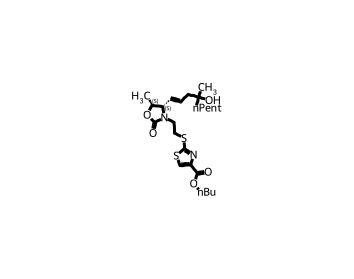 CCCCCC(C)(O)CC=C[C@H]1[C@H](C)OC(=O)N1CCSc1nc(C(=O)OCCCC)cs1